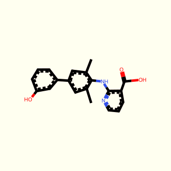 Cc1cc(-c2cccc(O)c2)cc(C)c1Nc1ncccc1C(=O)O